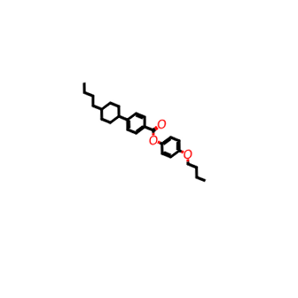 CCCCOc1ccc(OC(=O)c2ccc(C3CCC(CCCC)CC3)cc2)cc1